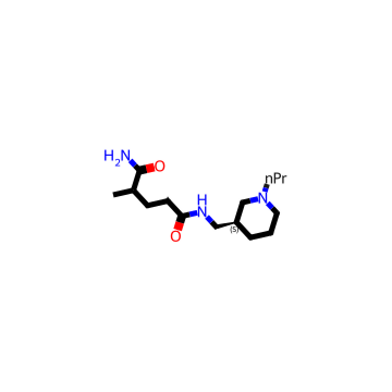 CCCN1CCC[C@@H](CNC(=O)[CH]CC(C)C(N)=O)C1